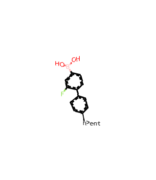 CCCCCc1ccc(-c2ccc(B(O)O)cc2F)cc1